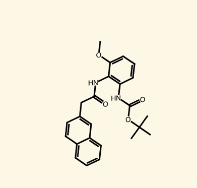 COc1cccc(NC(=O)OC(C)(C)C)c1NC(=O)Cc1ccc2ccccc2c1